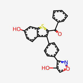 O=C(c1ccccc1)c1sc2cc(O)ccc2c1-c1ccc(-c2nocc2O)cc1